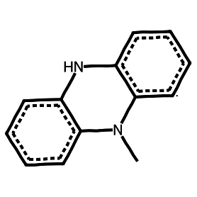 CN1c2[c]cccc2Nc2ccccc21